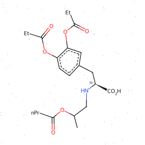 CCCC(=O)OC(C)CN[C@@H](Cc1ccc(OC(=O)CC)c(OC(=O)CC)c1)C(=O)O